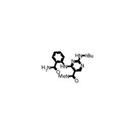 CCCCNc1ncc(C(=O)NC)c(Nc2ccccc2C(N)=O)n1